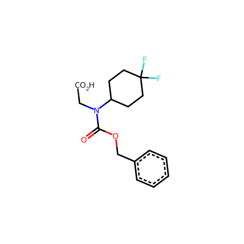 O=C(O)CN(C(=O)OCc1ccccc1)C1CCC(F)(F)CC1